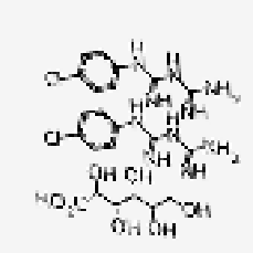 N=C(N)NC(=N)Nc1ccc(Cl)cc1.N=C(N)NC(=N)Nc1ccc(Cl)cc1.O=C(O)[C@H](O)[C@@H](O)[C@H](O)[C@H](O)CO